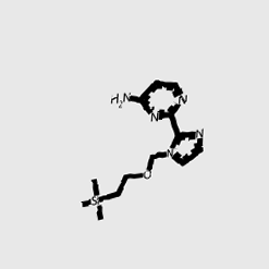 C[Si](C)(C)CCOCn1ccnc1-c1nccc(N)n1